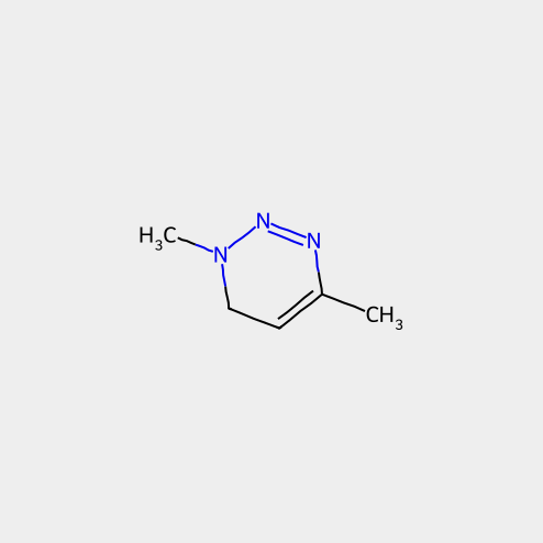 CC1=CCN(C)N=N1